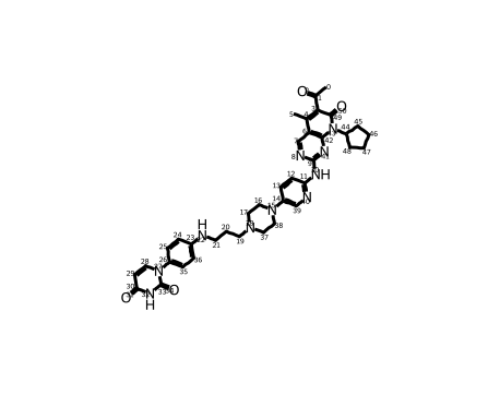 CC(=O)c1c(C)c2cnc(Nc3ccc(N4CCN(CCCNc5ccc(-n6ccc(=O)[nH]c6=O)cc5)CC4)cn3)nc2n(C2CCCC2)c1=O